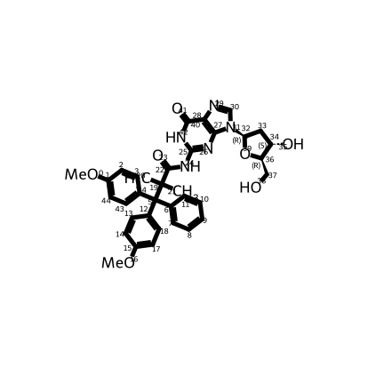 COc1ccc(C(c2ccccc2)(c2ccc(OC)cc2)C(C)(C)C(=O)Nc2nc3c(ncn3[C@H]3C[C@H](O)[C@@H](CO)O3)c(=O)[nH]2)cc1